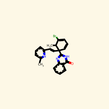 Cc1cccc(C=CC2(c3nc4ccccc4c(=O)[nH]3)C=CC=C(Br)C2C)n1